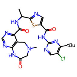 CC(NC(=O)c1ncnc2c1CN(C)CC(=O)N2)c1ncc(C(=O)Nc2ncc(Cl)c(C(C)(C)C)n2)s1